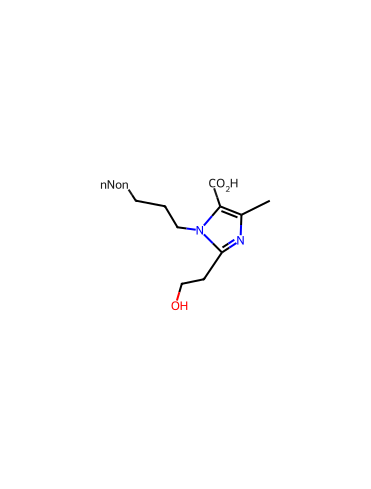 CCCCCCCCCCCCn1c(CCO)nc(C)c1C(=O)O